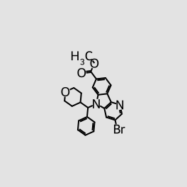 COC(=O)c1ccc2c3ncc(Br)cc3n(C(c3ccccc3)C3CCOCC3)c2c1